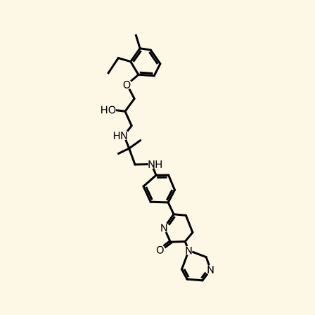 CCc1c(C)cccc1OCC(O)CNC(C)(C)CNc1ccc(C2=NC(=O)C(N3C=CC=NC3)CC2)cc1